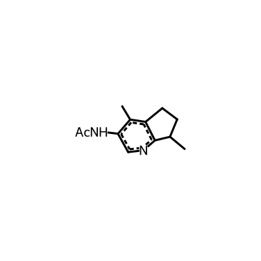 CC(=O)Nc1cnc2c(c1C)CCC2C